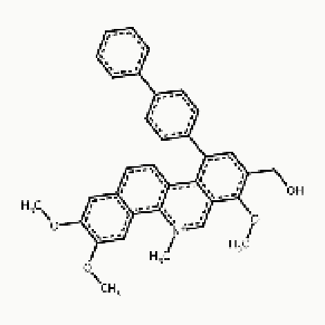 COc1cc2ccc3c4c(-c5ccc(-c6ccccc6)cc5)cc(CO)c(OC)c4c[n+](C)c3c2cc1OC